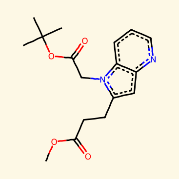 COC(=O)CCc1cc2ncccc2n1CC(=O)OC(C)(C)C